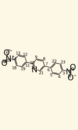 O=[N+]([O-])c1ccc(-c2ccc(-c3ccc([N+](=O)[O-])cc3)nc2)cc1